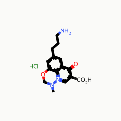 CN1COc2cc(CCCN)cc3c(=O)c(C(=O)O)cn1c23.Cl